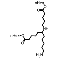 CCCCCCOC(=O)CCCCNC(CCCCCN)CCCCC(=O)OCCCCCC